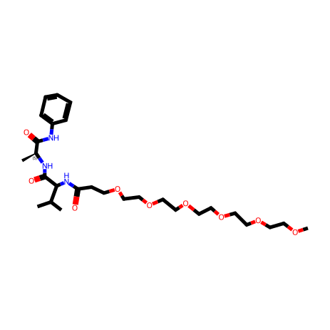 COCCOCCOCCOCCOCCOCCC(=O)NC(C(=O)N[C@@H](C)C(=O)Nc1ccccc1)C(C)C